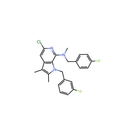 Cc1c(C)n(Cc2cccc(F)c2)c2c(N(C)Cc3ccc(F)cc3)nc(Cl)cc12